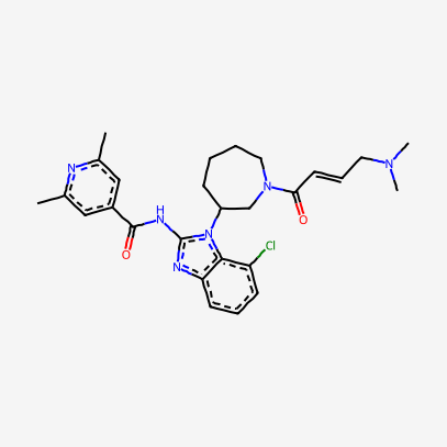 Cc1cc(C(=O)Nc2nc3cccc(Cl)c3n2C2CCCCN(C(=O)/C=C/CN(C)C)C2)cc(C)n1